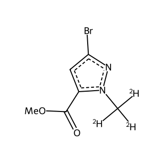 [2H]C([2H])([2H])n1nc(Br)cc1C(=O)OC